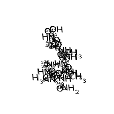 CC(C)C[C@H](NC(=O)[C@H](CCC(N)=O)NC(=O)[C@H](C)NC(=O)[C@@H]1CCCN1)C(=O)NCC(=O)NCC(=O)N[C@@H](C)C(=O)NCC(=O)N1CCC[C@H]1C(=O)NCC(=O)O